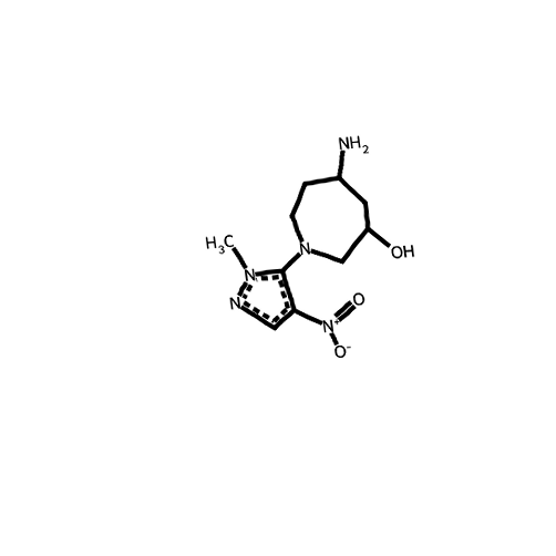 Cn1ncc([N+](=O)[O-])c1N1CCC(N)CC(O)C1